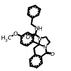 COc1ccc(C23Cc4ccccc4C(=O)N2CCN3C(=O)NCc2ccccc2)cc1